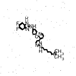 CN(C)CCCCCCNc1nccc(-c2cccnc2Oc2ccc(Nc3nc4cc(F)c(F)cc4[nH]3)cc2)n1